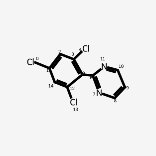 Clc1cc(Cl)c(-c2ncccn2)c(Cl)c1